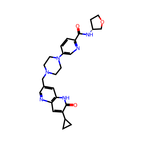 O=C(N[C@@H]1CCOC1)c1ccc(N2CCN(Cc3cnc4cc(C5CC5)c(=O)[nH]c4c3)CC2)cn1